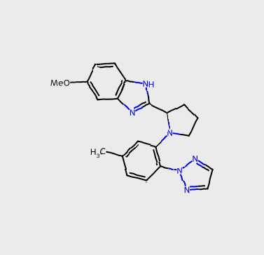 COc1ccc2[nH]c(C3CCCN3c3cc(C)c[c]c3-n3nccn3)nc2c1